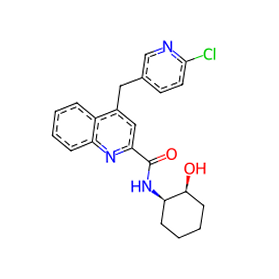 O=C(N[C@@H]1CCCC[C@@H]1O)c1cc(Cc2ccc(Cl)nc2)c2ccccc2n1